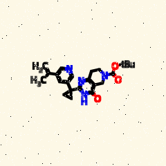 C=C(C)c1cncc(C2(c3nc4c(c(=O)[nH]3)CN(C(=O)OC(C)(C)C)CC4)CC2)c1